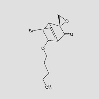 O=C1C2C=C(Br)C(CC2OCCCCO)[C@@]12CO2